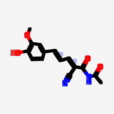 COc1cc(/C=C/C=C(\C#N)C(=O)NC(C)=O)ccc1O